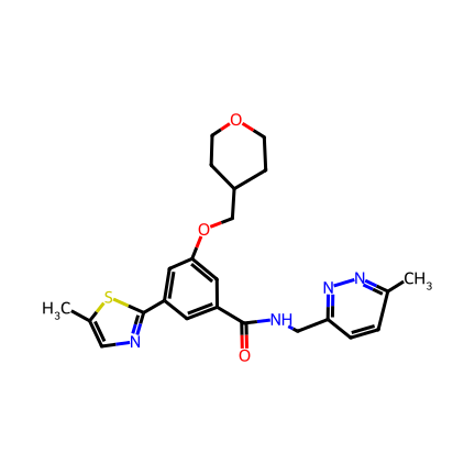 Cc1ccc(CNC(=O)c2cc(OCC3CCOCC3)cc(-c3ncc(C)s3)c2)nn1